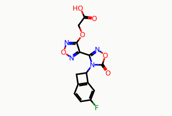 O=C(O)COc1nonc1-c1noc(=O)n1C1Cc2ccc(F)cc21